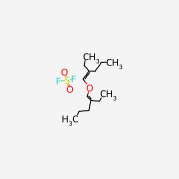 CCCC(=COC=C(CC)CCC)CC.O=S(=O)(F)F